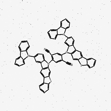 N#Cc1cc(-n2c3cc(-n4c5ccccc5c5ccccc54)ccc3c3cc4c(cc32)sc2ccccc24)c(C#N)cc1-n1c2ccc(-n3c4ccccc4c4ccccc43)cc2c2cc3c(cc21)sc1ccccc13